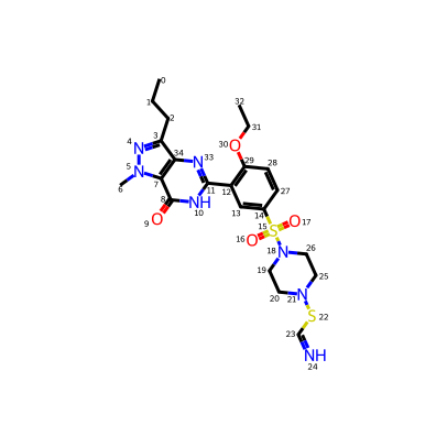 CCCc1nn(C)c2c(=O)[nH]c(-c3cc(S(=O)(=O)N4CCN(SC=N)CC4)ccc3OCC)nc12